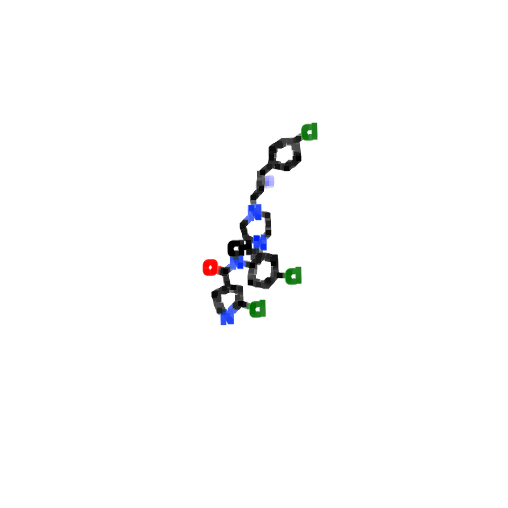 CN(C(=O)c1ccnc(Cl)c1)c1ccc(Cl)cc1N1CCN(C/C=C/c2ccc(Cl)cc2)CC1